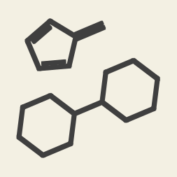 C1CCC(C2CCCCC2)CC1.C=C1C=CC=C1